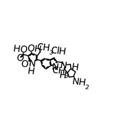 CCc1c(-c2ccc3c(c2)cc(CN2C[C@H]4CC(N)C[C@H]4C2)n3C)[nH]c(=O)c(C(=O)O)c1O.Cl